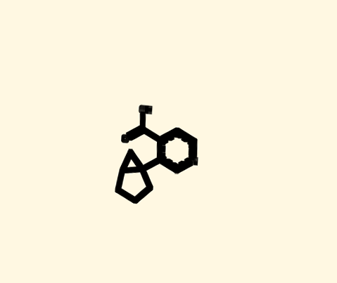 O=C(O)c1ccn[c]c1C12CCCC1C2